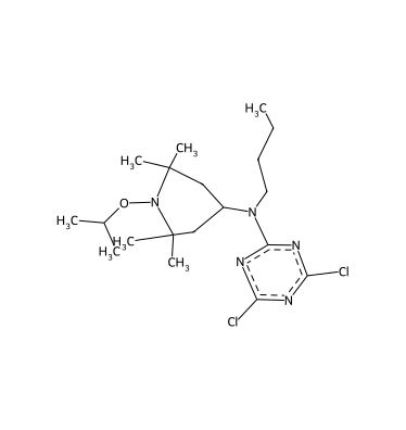 CCCCN(c1nc(Cl)nc(Cl)n1)C1CC(C)(C)N(OC(C)C)C(C)(C)C1